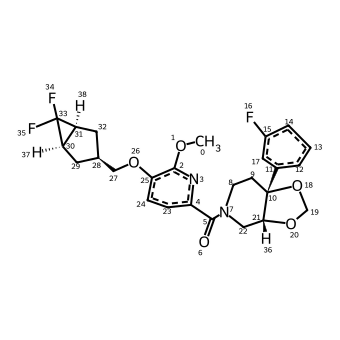 COc1nc(C(=O)N2CC[C@]3(c4cccc(F)c4)OCO[C@@H]3C2)ccc1OC[C@H]1C[C@@H]2[C@H](C1)C2(F)F